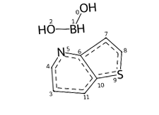 OBO.c1cnc2ccsc2c1